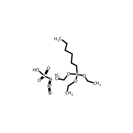 CCCCCC[Si](OCC)(OCC)OCC.[N-]=[N+]=NS(=O)(=O)O